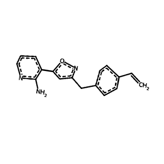 C=Cc1ccc(Cc2cc(-c3cccnc3N)on2)cc1